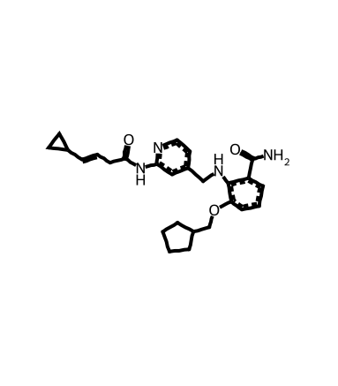 NC(=O)c1cccc(OCC2CCCC2)c1NCc1ccnc(NC(=O)CC=CC2CC2)c1